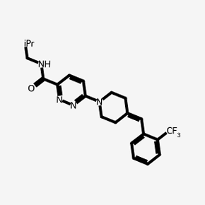 CC(C)CNC(=O)c1ccc(N2CCC(=Cc3ccccc3C(F)(F)F)CC2)nn1